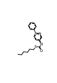 CCCCCCSC(=O)N=c1ccn(-c2ccccc2)nc1